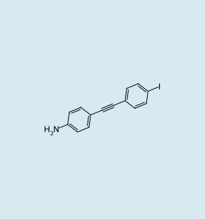 Nc1ccc(C#Cc2ccc(I)cc2)cc1